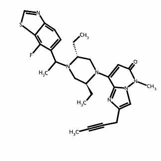 CC#CCc1cn2c(n1)c(N1C[C@@H](CC)N(C(C)c3ccc4ncsc4c3F)C[C@@H]1CC)cc(=O)n2C